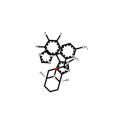 Cc1ccc(-n2cncn2)c(C(=O)CN2[C@H]3CCC[C@@H]2c2nn(C)c(-c4cc(F)c(F)c(F)c4)c2C3)n1